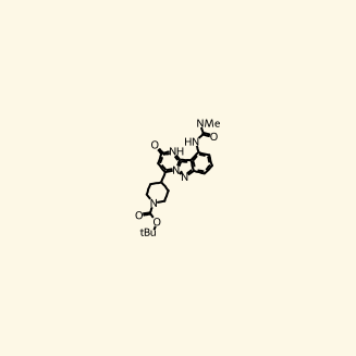 CNC(=O)Nc1cccc2nn3c(C4CCN(C(=O)OC(C)(C)C)CC4)cc(=O)[nH]c3c12